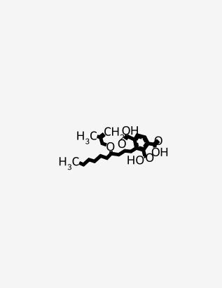 C=C(C)COC(CCCCCC)CCCc1c(C(=O)O)ccc(C(=O)O)c1C(=O)O